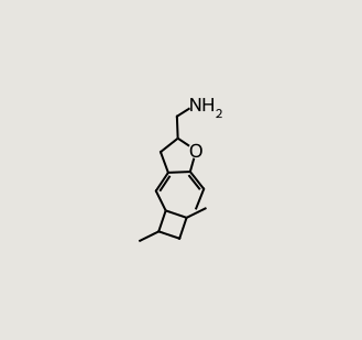 C/C=C1/OC(CN)C/C1=C/C1C(C)CC1C